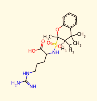 CC1(C)c2ccccc2OC(C)(S(=O)(=O)NC(CCCNC(=N)N)C(=O)O)C1(C)C